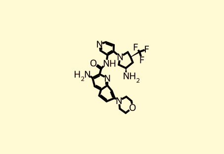 Nc1cc2ccc(N3CCOCC3)cc2nc1C(=O)Nc1cnccc1N1C[C@H](N)C[C@H](C(F)(F)F)C1